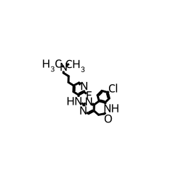 CN(C)CCCc1cnc(F)c(Nc2ncc3c(n2)-c2ccc(Cl)cc2NC(=O)C3)c1